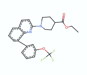 CCOC(=O)C1CCN(c2ccc3cccc(-c4cccc(OC(F)(F)F)c4)c3n2)CC1